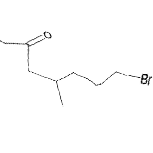 CC(=O)CC(C)CCCBr